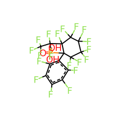 O=P(O)(O)C1(c2c(F)c(F)c(F)c(F)c2F)C(F)(F)C(F)(F)C(F)(F)C(F)(F)C1(F)C(F)(F)C(F)(F)F